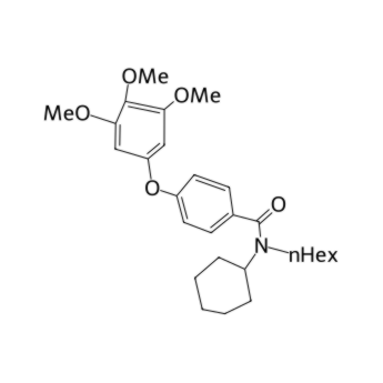 CCCCCCN(C(=O)c1ccc(Oc2cc(OC)c(OC)c(OC)c2)cc1)C1CCCCC1